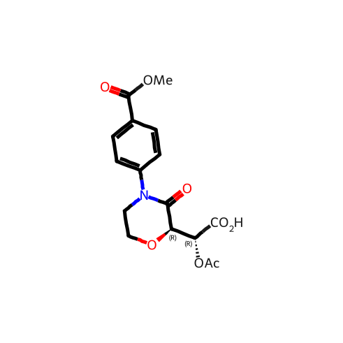 COC(=O)c1ccc(N2CCO[C@H]([C@@H](OC(C)=O)C(=O)O)C2=O)cc1